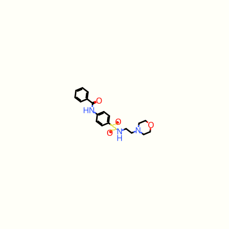 O=C(Nc1ccc(S(=O)(=O)NCCN2CCOCC2)cc1)c1ccccc1